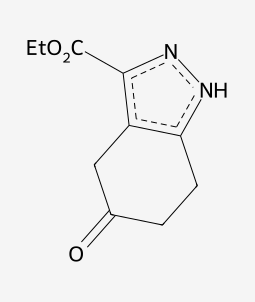 CCOC(=O)c1n[nH]c2c1CC(=O)CC2